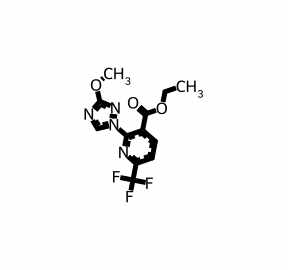 CCOC(=O)c1ccc(C(F)(F)F)nc1-n1cnc(OC)n1